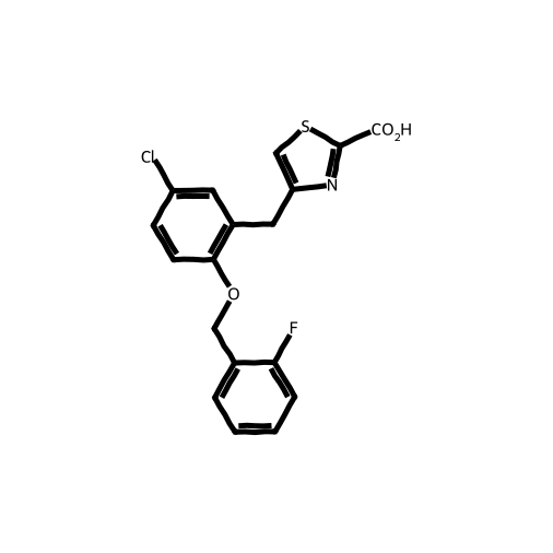 O=C(O)c1nc(Cc2cc(Cl)ccc2OCc2ccccc2F)cs1